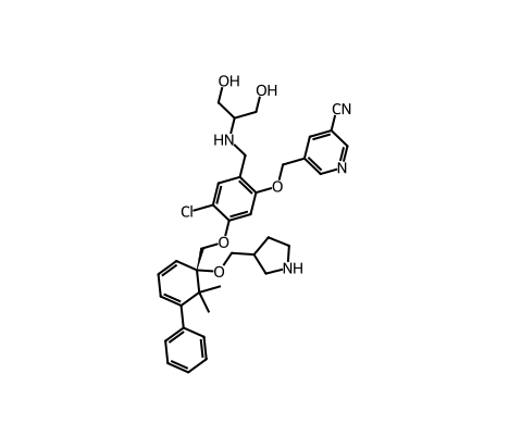 CC1(C)C(c2ccccc2)=CC=C[C@]1(COc1cc(OCc2cncc(C#N)c2)c(CNC(CO)CO)cc1Cl)OCC1CCNC1